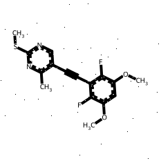 COc1cc(OC)c(F)c(C#Cc2cnc(SC)nc2C)c1F